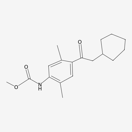 COC(=O)Nc1cc(C)c(C(=O)CC2CCCCC2)cc1C